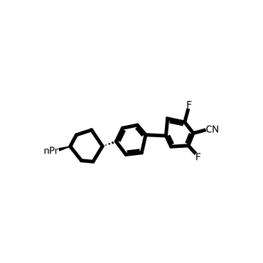 CCC[C@H]1CC[C@H](c2ccc(-c3cc(F)c(C#N)c(F)c3)cc2)CC1